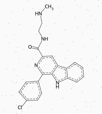 CNCCNC(=O)c1cc2c([nH]c3ccccc32)c(-c2ccc(Cl)cc2)n1